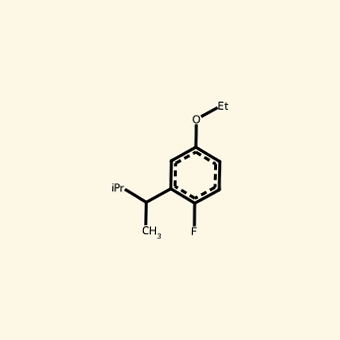 CCOc1ccc(F)c(C(C)C(C)C)c1